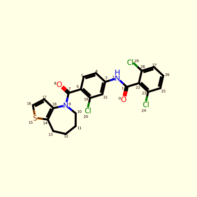 O=C(Nc1ccc(C(=O)N2CCCCc3sccc32)c(Cl)c1)c1c(Cl)cccc1Cl